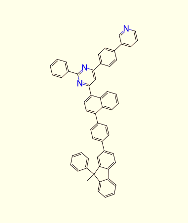 CC1(c2ccccc2)c2ccccc2-c2ccc(-c3ccc(-c4ccc(-c5cc(-c6ccc(-c7cccnc7)cc6)nc(-c6ccccc6)n5)c5ccccc45)cc3)cc21